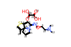 CC1=CSC2=C/C(=N/OCCN(C)C)N3C=CCC123.O=C(O)C(=O)O